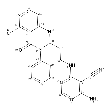 N#Cc1c(N)ncnc1NCCc1nc2cccc(Cl)c2c(=O)n1-c1ccccc1